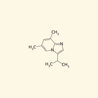 Cc1cc(C)c2ncc(C(C)C)n2c1